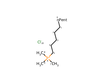 CCCCCCCCCC[P+](C)(C)C.[Cl-]